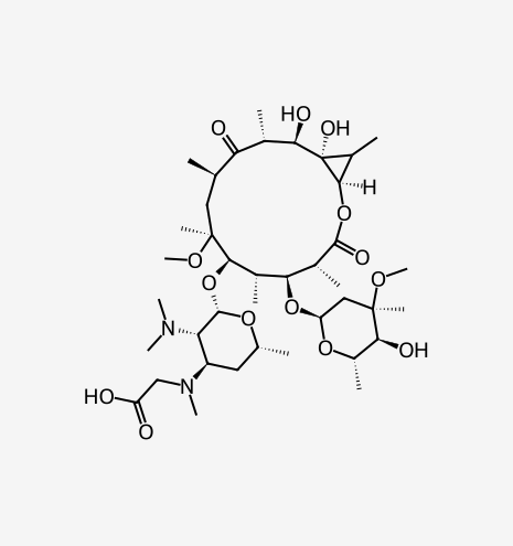 CO[C@]1(C)C[C@H](O[C@H]2[C@H](C)[C@@H](O[C@@H]3O[C@H](C)C[C@@H](N(C)CC(=O)O)[C@@H]3N(C)C)[C@@](C)(OC)C[C@@H](C)C(=O)[C@H](C)[C@@H](O)[C@@]3(O)C(C)[C@H]3OC(=O)[C@@H]2C)O[C@@H](C)[C@@H]1O